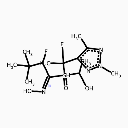 Cc1nn(C)nc1C(C)(F)[SH](=O)(/C(=N/O)C(F)C(C)(C)C)C(C)O